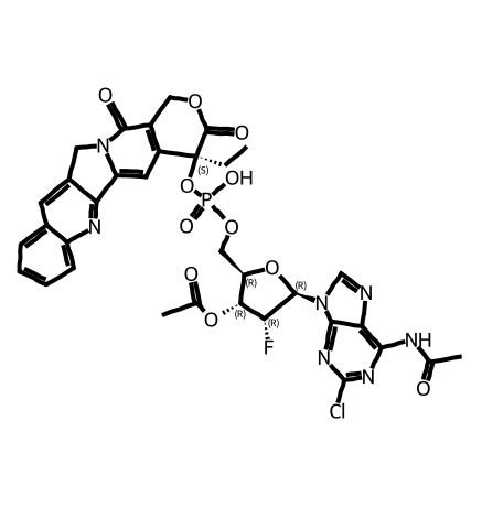 CC[C@@]1(OP(=O)(O)OC[C@H]2O[C@@H](n3cnc4c(NC(C)=O)nc(Cl)nc43)[C@H](F)[C@@H]2OC(C)=O)C(=O)OCc2c1cc1n(c2=O)Cc2cc3ccccc3nc2-1